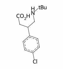 CC(C)(C)NCC(CC(=O)O)c1ccc(Cl)cc1